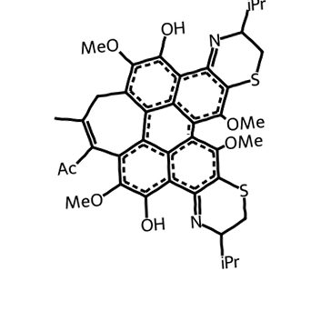 COc1c(O)c2c3c(c(OC)c4c5c(OC)c6c(c7c(O)c(OC)c8c(c(c1CC(C)=C8C(C)=O)c24)c75)=NC(C(C)C)CS6)SCC(C(C)C)N=3